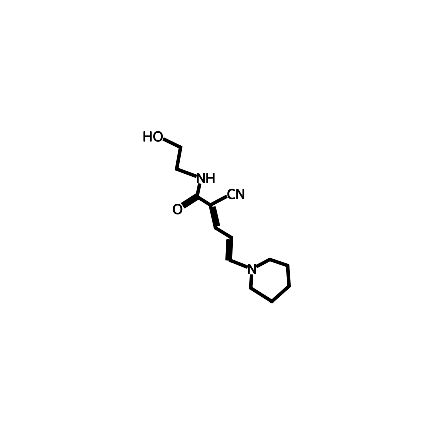 N#C/C(=C\C=C\N1CCCCC1)C(=O)NCCO